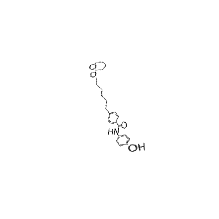 O=C(Nc1ccc(O)cc1)c1ccc(CCCCCCOC2CCCCO2)cc1